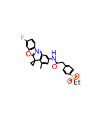 CCS(=O)(=O)c1ccc(CC(=O)Nc2cc(C)c(C3(c4nc5ccc(F)cc5o4)CC3)c(C)c2)cc1